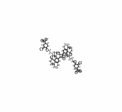 O=C(CCCOc1ccc([N+](=O)[O-])cc1Cl)Nc1c(C2=C([O-])/C(=c3/cc4c5c(c3NC(=O)CCCOc3ccc([N+](=O)[O-])cc3Cl)CCC[N+]=5CCC4)C2=O)cc2c3c1CCCN3CCC2